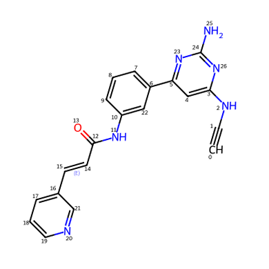 C#CNc1cc(-c2cccc(NC(=O)/C=C/c3cccnc3)c2)nc(N)n1